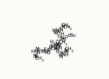 CN(C)c1ccc(-c2nc3c(-c4ccc(C5(NC(=O)c6ccc(C(C)(C)C)cc6)CC5CC(C)(C)c5nc(C(=O)NC6(c7ccc(-c8ccnc9[nH]c(-c%10cnn(C)c%10)nc89)cc7)CC6CC(C)(C)OC6CN(C(=O)NC7(c8ccc(-c9ccnc%10[nH]c(-c%11cnn(C)c%11)nc9%10)cc8F)CC7)C6)no5)cc4)ccnc3[nH]2)nc1